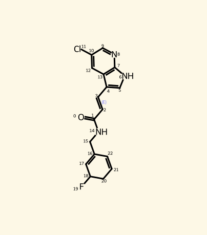 O=C(/C=C/c1c[nH]c2ncc(Cl)cc12)NCC1=CC(F)CC=C1